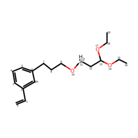 C=Cc1cccc(CCCO[SiH2]CC(OCC)OCC)c1